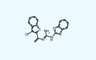 C=C(/N=C(\N)Nc1nc2ccccc2o1)c1sc2ccccc2c1Cl